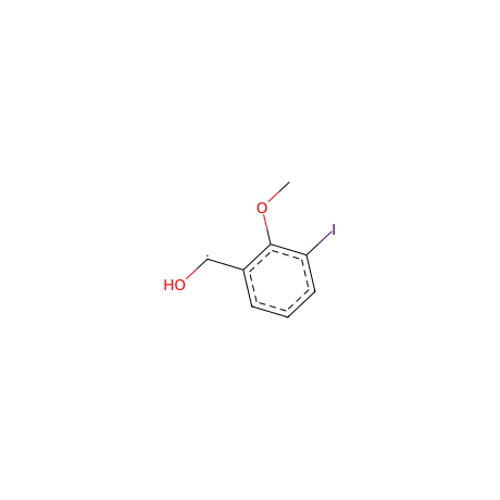 COc1c(I)cccc1[CH]O